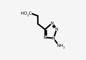 Nn1nnc(CCC(=O)O)n1